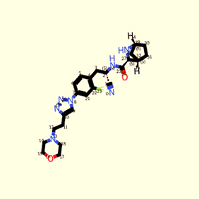 N#C[C@H](Cc1ccc(-n2cc(CCN3CCOCC3)nn2)cc1F)NC(=O)[C@H]1N[C@@H]2CC[C@H]1C2